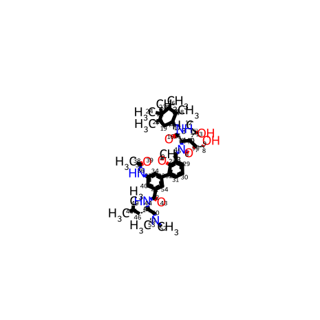 COc1c(CN2O[C@@H](CO)[C@@H]([C@H](C)O)[C@H]2C(=O)N[C@H]2C[C@@H](C)C(C)(C)[C@@H](C)[C@@H]2C)cccc1-c1cc(NC(C)=O)cc(C(=O)N[C@@H](CC(C)C)CN(C)C)c1